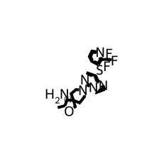 CC1OCC2(CCN(c3ncc(Sc4cccnc4C(F)(F)F)c4nccn34)CC2)[C@@H]1N